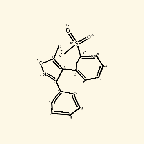 Cc1onc(-c2ccccc2)c1-c1ccccc1S(=O)(=O)Cl